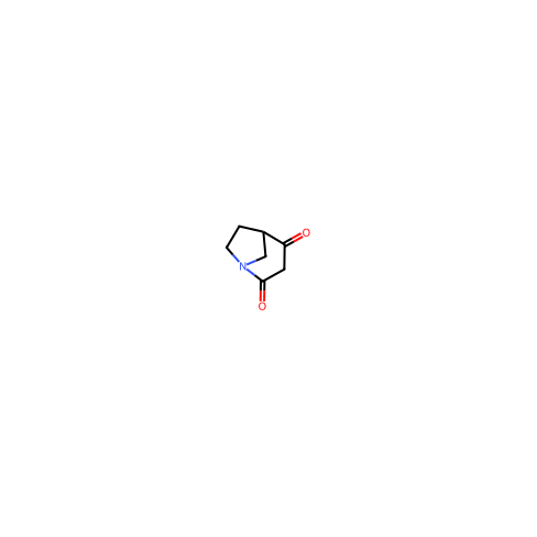 O=C1CC(=O)N2CCC1C2